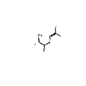 C/C(Br)=C\CC(C)[C@H](C)O